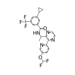 CC(NC(=O)c1cc(C2CC2)cc(C(F)(F)F)c1)c1nccnc1-c1ccc(OC(F)F)cn1